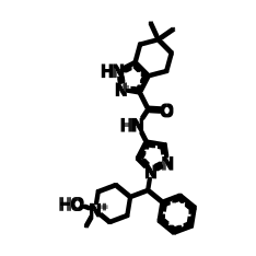 CC1(C)CCc2c(C(=O)Nc3cnn(C(c4ccccc4)C4CC[N+](C)(O)CC4)c3)n[nH]c2C1